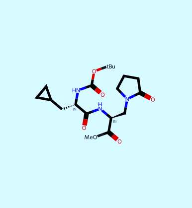 COC(=O)[C@H](CN1CCCC1=O)NC(=O)[C@H](CC1CC1)NC(=O)OC(C)(C)C